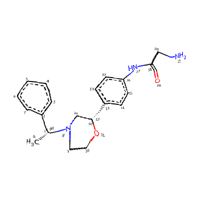 C[C@H](c1ccccc1)N1CCO[C@@H](c2ccc(NC(=O)CN)cc2)C1